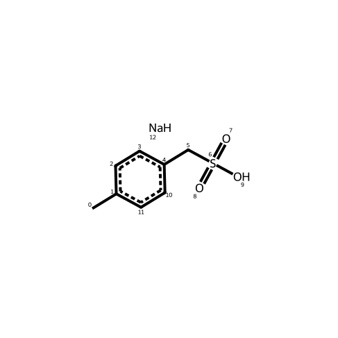 Cc1ccc(CS(=O)(=O)O)cc1.[NaH]